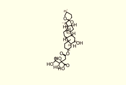 C[C@@H]1CC[C@@]2(OC1)O[C@H]1C[C@H]3[C@@H]4C[C@H](O)[C@H]5C[C@@H](OC(=O)CC(O)(C(=O)O)C(O)C(=O)O)CC[C@]5(C)[C@H]4CC[C@]3(C)[C@H]1[C@@H]2C